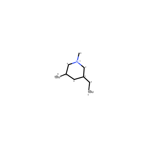 CN1CC(CC(C)(C)C)CC(C(C)(C)C)C1